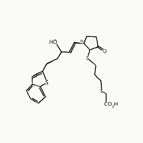 O=C(O)CSCCCSC1C(=O)CC[C@@H]1C=CC(O)CCc1cc2ccccc2s1